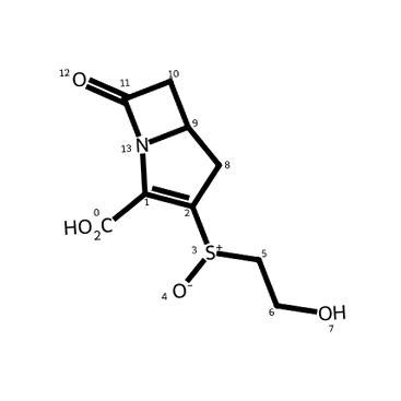 O=C(O)C1=C([S+]([O-])CCO)CC2CC(=O)N12